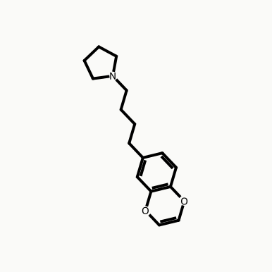 C1=COc2cc(CCCCN3CCCC3)ccc2O1